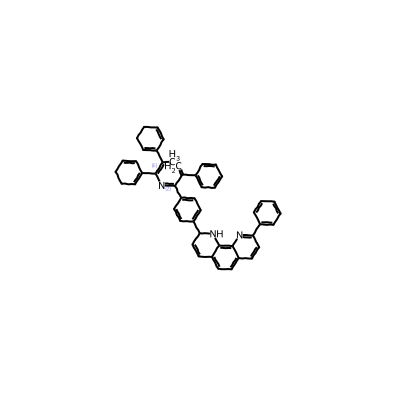 C=C(/C(=N\C(C1=CCCC=C1)=C(/C)C1=CCCC=C1)c1ccc(C2C=Cc3ccc4ccc(-c5ccccc5)nc4c3N2)cc1)c1ccccc1